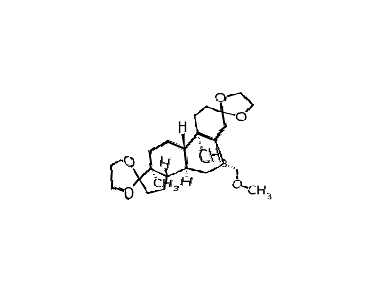 COC[C@@H]1C[C@@H]2[C@H](CC[C@@]3(C)[C@H]2CCC32OCCO2)[C@@]2(C)CCC3(CC12)OCCO3